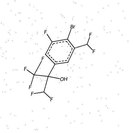 OC(c1cc(F)c(Br)c(C(F)F)c1)(C(F)F)C(F)(F)F